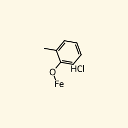 Cc1ccccc1[O][Fe].Cl